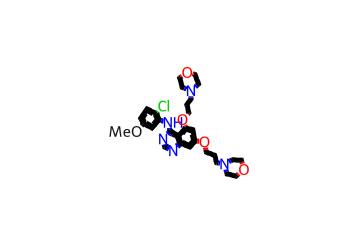 COc1ccc(Cl)c(Nc2ncnc3cc(OCCCN4CCOCC4)cc(OCCCN4CCOCC4)c23)c1